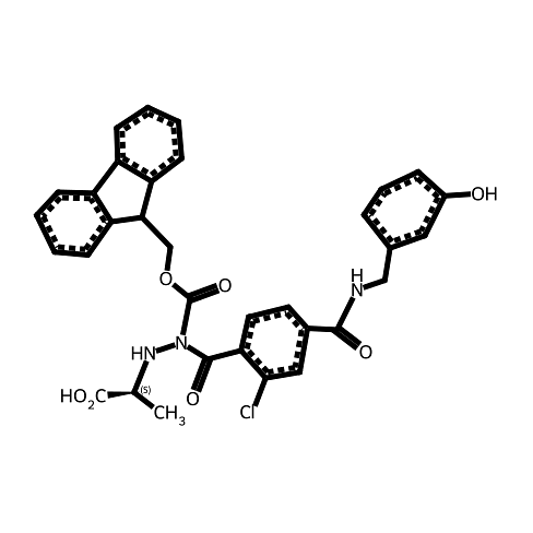 C[C@H](NN(C(=O)OCC1c2ccccc2-c2ccccc21)C(=O)c1ccc(C(=O)NCc2cccc(O)c2)cc1Cl)C(=O)O